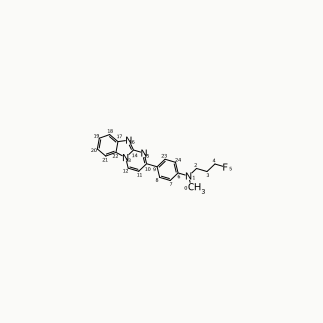 CN(CCCF)c1ccc(-c2ccn3c(n2)nc2ccccc23)cc1